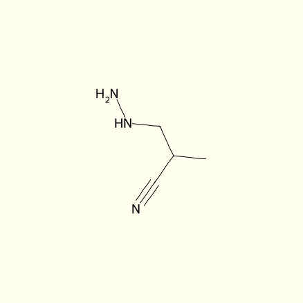 CC(C#N)CNN